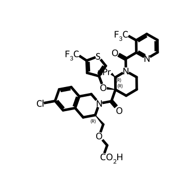 CCC[C@H]1N(C(=O)c2ncccc2C(F)(F)F)CCC[C@]1(Oc1csc(C(F)(F)F)c1)C(=O)N1Cc2ccc(Cl)cc2C[C@@H]1COCC(=O)O